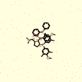 COc1c(C)cc(P(c2cc(C)c(OC)c(C)c2)[C@H]2CCC([C@@H](C)N(C)C)[C@H]2[C@@H](O)c2ccccc2P(c2ccccc2)c2ccccc2)cc1C